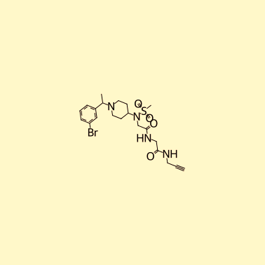 C#CCNC(=O)CNC(=O)CN(C1CCN(C(C)c2cccc(Br)c2)CC1)S(C)(=O)=O